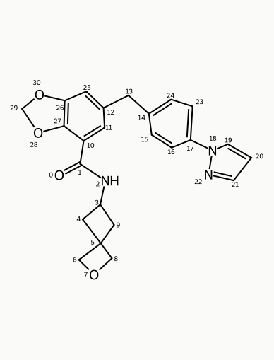 O=C(NC1CC2(COC2)C1)c1cc(Cc2ccc(-n3cccn3)cc2)cc2c1OCO2